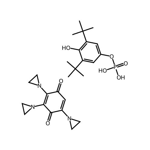 CC(C)(C)c1cc(OP(=O)(O)O)cc(C(C)(C)C)c1O.O=C1C=C(N2CC2)C(=O)C(N2CC2)=C1N1CC1